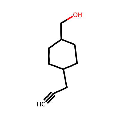 C#CCC1CCC(CO)CC1